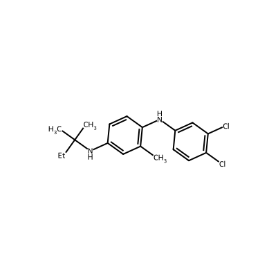 CCC(C)(C)Nc1ccc(Nc2ccc(Cl)c(Cl)c2)c(C)c1